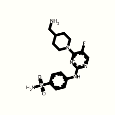 NCC1CCN(c2nc(Nc3ccc(S(N)(=O)=O)cc3)ncc2F)CC1